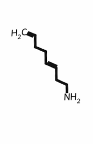 C=CCCC=CCCN